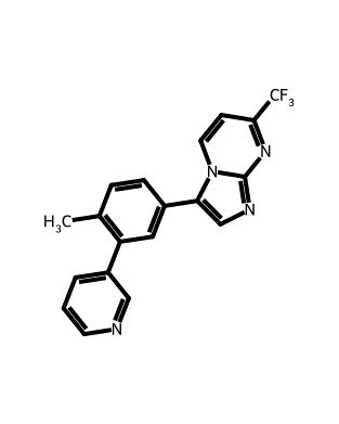 Cc1ccc(-c2cnc3nc(C(F)(F)F)ccn23)cc1-c1cccnc1